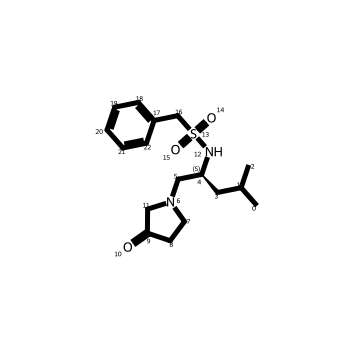 CC(C)C[C@@H](CN1CCC(=O)C1)NS(=O)(=O)Cc1ccccc1